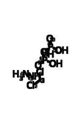 ClCCl.N.N.O=[PH](O)O[PH](=O)O